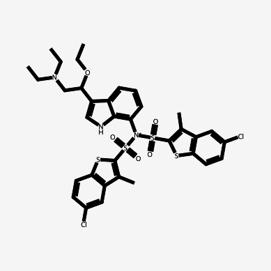 CCOC(CN(CC)CC)c1c[nH]c2c([N+](S(=O)(=O)c3sc4ccc(Cl)cc4c3C)S(=O)(=O)c3sc4ccc(Cl)cc4c3C)cccc12